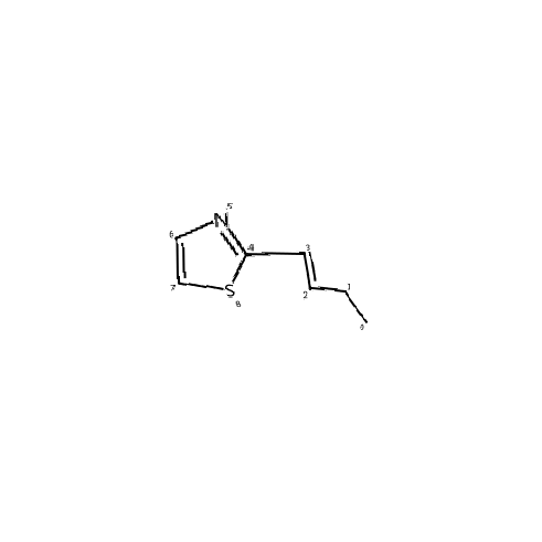 CCC=Cc1nccs1